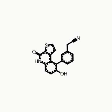 N#CCc1cccc(-c2c(O)ccc3[nH]c(=O)c4sccc4c23)c1